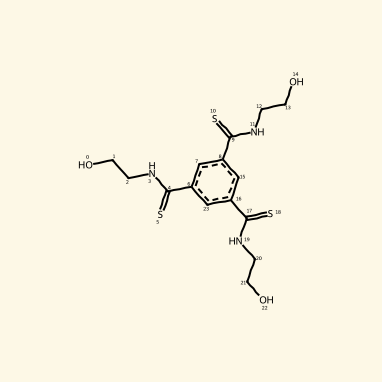 OCCNC(=S)c1cc(C(=S)NCCO)cc(C(=S)NCCO)c1